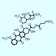 CCCCC(=O)OCC(=O)[C@]1(O)Cc2c(O)c3c(c(O)c2[C@@H](O[C@H]2CC(NC(=O)C(C)(F)F)C(O)C(C)O2)C1)C(=O)c1c(OC)cccc1C3=O